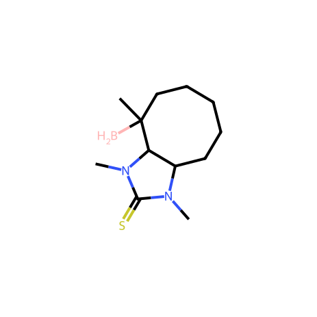 BC1(C)CCCCCC2C1N(C)C(=S)N2C